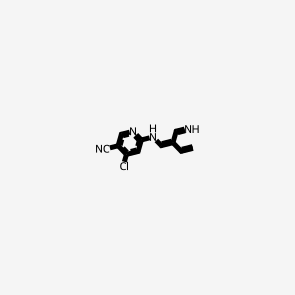 C=C/C(C=N)=C/Nc1cc(Cl)c(C#N)cn1